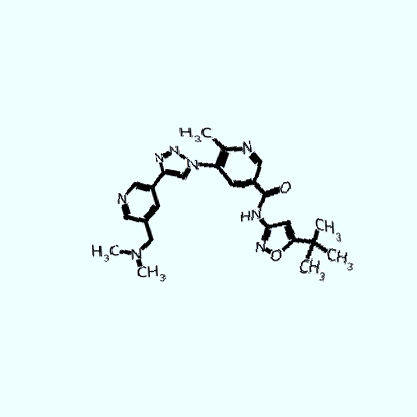 Cc1ncc(C(=O)Nc2cc(C(C)(C)C)on2)cc1-n1cc(-c2cncc(CN(C)C)c2)nn1